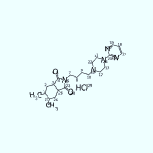 CC1CC2C(=O)N(CCCCN3CCN(c4ncccn4)CC3)C(=O)C2CC1C.Cl